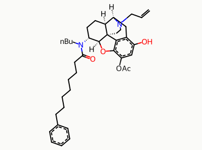 C=CCN1CC[C@]23c4c5c(O)cc(OC(C)=O)c4O[C@H]2[C@H](N(CCCC)C(=O)CCCCCCCc2ccccc2)CC[C@H]3[C@H]1C5